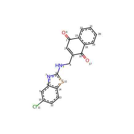 O=C1C=C(CNc2nc3cc(Cl)ccc3s2)C(=O)c2ccccc21